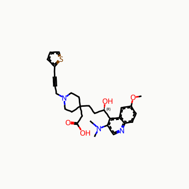 COc1ccc2ncc(N(C)C)c([C@H](O)CCC3(CC(=O)O)CCN(CC#Cc4cccs4)CC3)c2c1